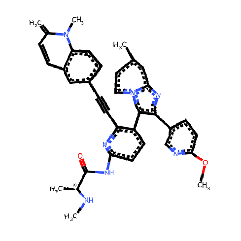 C=C1C=Cc2cc(C#Cc3nc(NC(=O)[C@H](C)NC)ccc3-c3c(-c4ccc(OC)nc4)nc4cc(C)ccn34)ccc2N1C